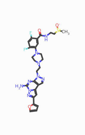 C[S+]([O-])CCNC(=O)c1cc(N2CCN(CCn3ncc4c3nc(N)n3nc(-c5ccco5)cc43)CC2)c(F)cc1F